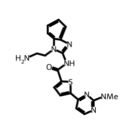 CNc1nccc(-c2ccc(C(=O)Nc3nc4ccccc4n3CCN)s2)n1